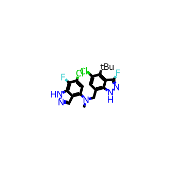 CN(Cc1cc(Cl)c(C(C)(C)C)c2c(F)n[nH]c12)c1cc(Cl)c(F)c2[nH]ncc12